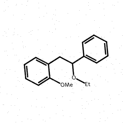 CCOC(Cc1ccccc1OC)c1ccccc1